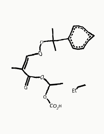 CC(=COOC(C)(C)c1ccccc1)C(=O)OC(C)OC(=O)O.CCC